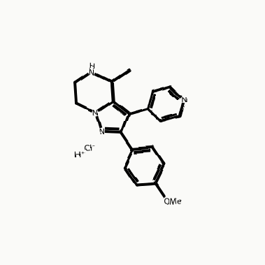 COc1ccc(-c2nn3c(c2-c2ccncc2)C(C)NCC3)cc1.[Cl-].[H+]